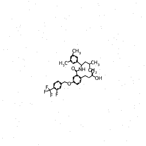 Cc1cc(C)cc(C(CC(C)C)NC(=O)c2cc(OCc3ccc(C(F)(F)F)c(F)c3)ccc2CCC(=O)O)c1